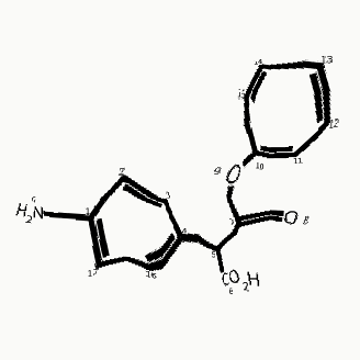 Nc1ccc(C(C(=O)O)C(=O)Oc2ccccc2)cc1